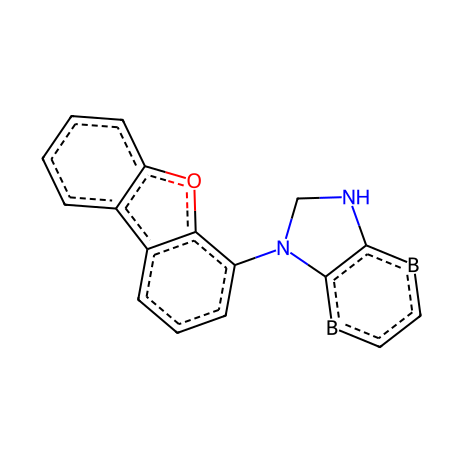 b1ccbc2c1NCN2c1cccc2c1oc1ccccc12